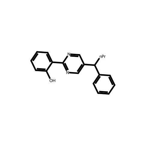 CCCC(c1ccccc1)c1cnc(-c2ccccc2O)nc1